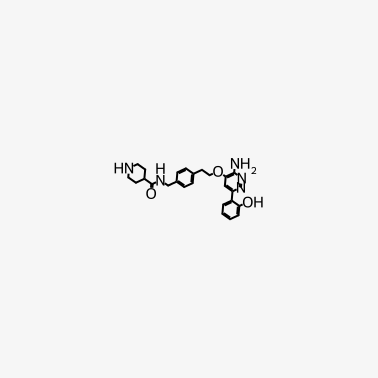 Nc1nnc(-c2ccccc2O)cc1OCCc1ccc(CNC(=O)C2CCNCC2)cc1